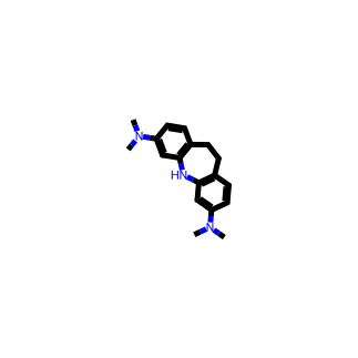 CN(C)c1ccc2c(c1)Nc1cc(N(C)C)ccc1CC2